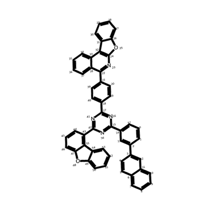 c1cc(-c2ccc3ccccc3c2)cc(-c2nc(-c3ccc(-c4nc5oc6ccccc6c5c5ccccc45)cc3)nc(-c3cccc4oc5ccccc5c34)n2)c1